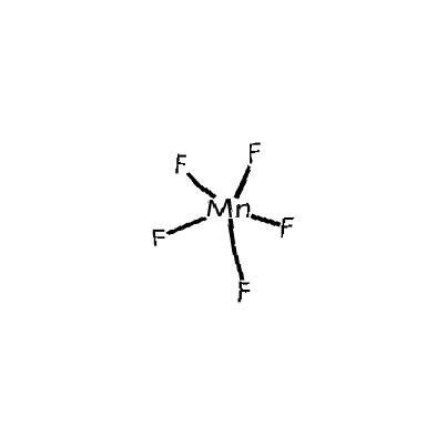 [F][Mn]([F])([F])([F])[F]